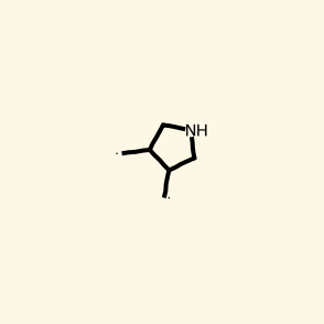 [CH2]C1CNCC1[CH2]